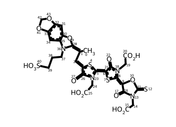 C/C(C=c1s/c(=c2/s/c(=C3/OC(=S)N(CC(=O)O)C3=O)n(CC(=O)O)c2=O)n(CC(=O)O)c1=O)=C1\Oc2cc3c(cc2N1CCCS(=O)(=O)O)OCO3